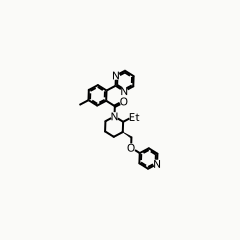 CCC1[C@@H](COc2ccncc2)CCCN1C(=O)c1cc(C)ccc1-c1ncccn1